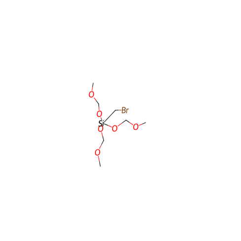 COCO[Si](CBr)(OCOC)OCOC